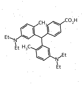 CCN(CC)c1ccc(C)c(C(c2ccc(C(=O)O)cc2)c2cc(N(CC)CC)ccc2C)c1